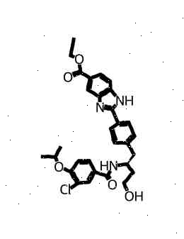 CCOC(=O)c1ccc2[nH]c(-c3ccc(C[C@@H](CCO)NC(=O)c4ccc(OC(C)C)c(Cl)c4)cc3)nc2c1